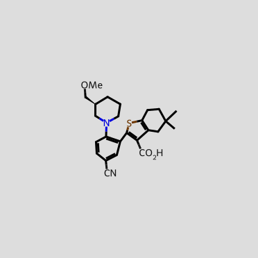 COC[C@H]1CCCN(c2ccc(C#N)cc2-c2sc3c(c2C(=O)O)CC(C)(C)CC3)C1